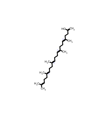 C=C(O)CC/C(C)=C/CC/C(C)=C/CC/C=C(\C)CC/C=C(\C)CCC=C(C)C